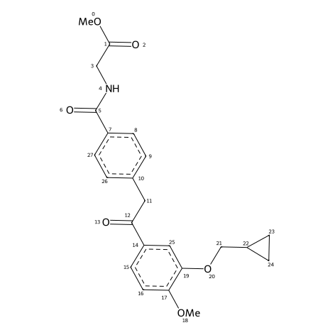 COC(=O)CNC(=O)c1ccc(CC(=O)c2ccc(OC)c(OCC3CC3)c2)cc1